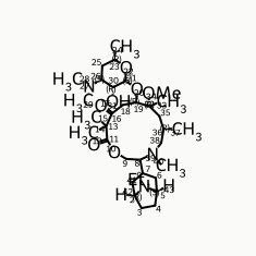 CCN1[C@@H]2CC[C@H]1CC(C1COC(=O)C(C)(C)C(=O)C[C@@H](O[C@@H]3O[C@H](C)C[C@H](N(C)C)[C@H]3O)[C@](C)(OC)C[C@@H](C)CN1C)C2